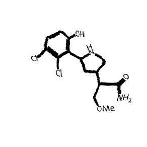 COCC(C(N)=O)C1CNC(c2c(O)ccc(Cl)c2Cl)C1